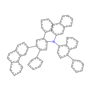 c1ccc(-c2cc(N(c3ccc4ccccc4c3)c3ccc(-c4ccccc4)c4ccccc34)c(-c3ccccc3)cc2-c2ccc3ccc4ccccc4c3c2)cc1